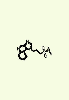 CN(C)S(=O)(=O)CCCn1cnc2cnc3ccccc3c21